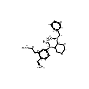 C=Cc1ccc(N(C)C2CCCCC2N(C)Cc2ccccc2)cc1CCNC